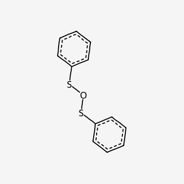 c1ccc(SOSc2ccccc2)cc1